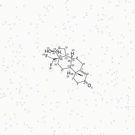 C[C@]12CCC(=O)C=C1CC[C@H]1[C@@H]3CC[C@H](O)[C@@]3(C(F)F)CC[C@@H]12